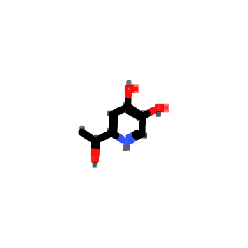 CC(=O)c1cc(O)c(O)cn1